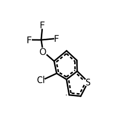 FC(F)(F)Oc1ccc2sc[c]c2c1Cl